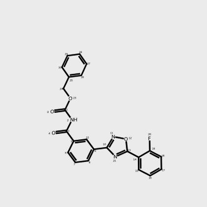 O=C(NC(=O)c1cccc(-c2noc(-c3ccccc3F)n2)c1)OCc1ccccc1